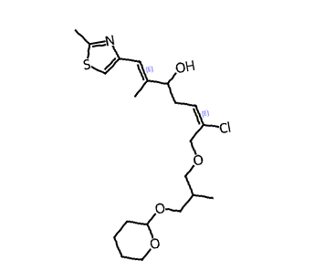 C/C(=C\c1csc(C)n1)C(O)C/C=C(/Cl)COCC(C)COC1CCCCO1